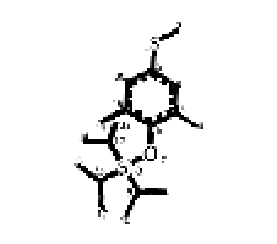 CSc1cc(C)c(O[Si](C(C)C)(C(C)C)C(C)C)c(C)c1